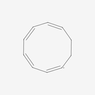 [C]1=C/C=C\C=C/C=C\CC\1